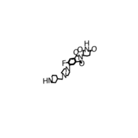 O=C1CC[C@@H](N2C(=O)c3cc(F)c(N4CCN(CC5CCNCC5)CC4)cc3C2=O)C(=O)N1